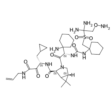 C=CCNC(=O)C(=O)[C@H](CC1CC1)NC(=O)[C@@H]1C2[C@H](CN1C(=O)[C@@H](NC(=O)NC1(CS(=O)(=O)C(N)(N)CON)CCCCC1)C1(N)CCCCC1)C2(C)C